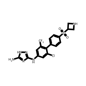 Nc1nc(Nc2cc(Cl)c(-c3ccc(S(=O)(=O)C4CNC4)cc3)c(C(F)(F)F)c2)n[nH]1